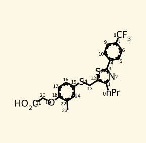 CCCc1nc(-c2ccc(C(F)(F)F)cc2)sc1CSc1ccc(OCC(=O)O)c(C)c1